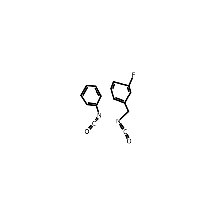 O=C=NCc1cccc(F)c1.O=C=Nc1ccccc1